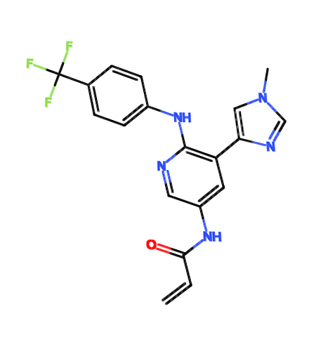 C=CC(=O)Nc1cnc(Nc2ccc(C(F)(F)F)cc2)c(-c2cn(C)cn2)c1